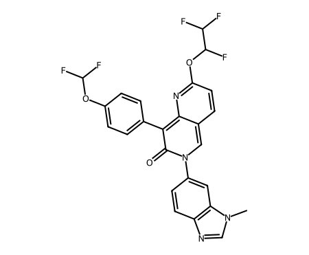 Cn1cnc2ccc(-n3cc4ccc(OC(F)C(F)F)nc4c(-c4ccc(OC(F)F)cc4)c3=O)cc21